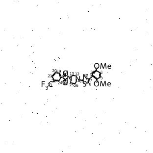 COc1ccc(OC)c(-c2csc(N3CCN(S(=O)(=O)c4cccc(C(F)(F)F)c4)CC3)n2)c1